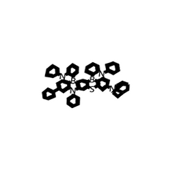 c1ccc(-c2cc3c4c(c2)N(c2ccccc2)c2cc5c(cc2B4c2ccccc2N3c2ccccc2)B2c3ccccc3N(c3ccccc3)c3cc(N4C6CC7CC(C6)CC4C7)cc(c32)S5)cc1